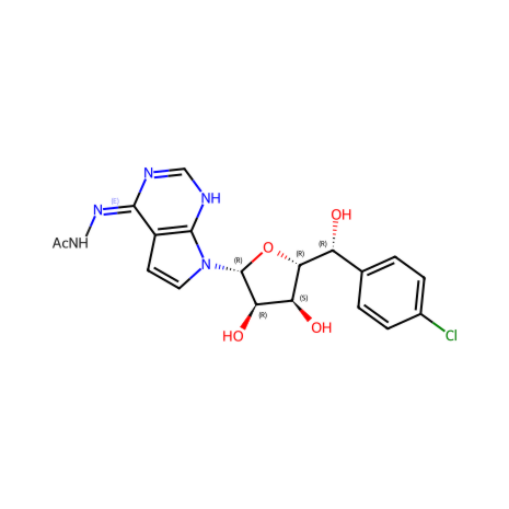 CC(=O)N/N=c1/nc[nH]c2c1ccn2[C@@H]1O[C@H]([C@H](O)c2ccc(Cl)cc2)[C@@H](O)[C@H]1O